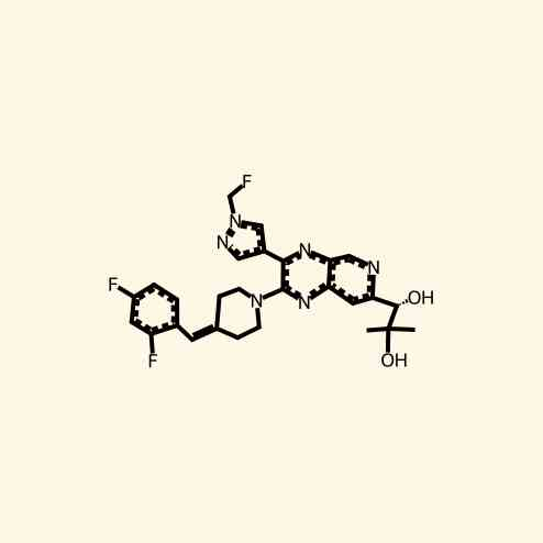 CC(C)(O)[C@@H](O)c1cc2nc(N3CCC(=Cc4ccc(F)cc4F)CC3)c(-c3cnn(CF)c3)nc2cn1